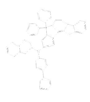 c1ccc(-c2ccc(N(c3ccc4c(c3)C(c3ccccc3)(c3ccccc3)c3ccc5c(oc6ccccc65)c3-4)c3ccc4ccccc4c3)cc2)cc1